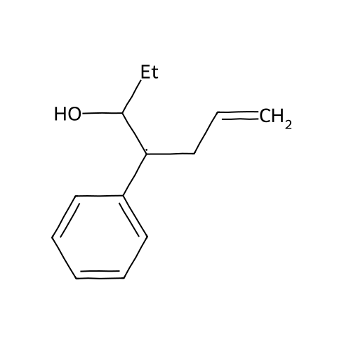 C=CC[C](c1ccccc1)C(O)CC